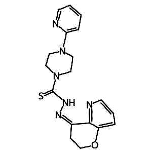 S=C(N/N=C1/CCOc2cccnc21)N1CCN(c2ccccn2)CC1